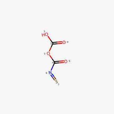 O=C(O)OC(=O)N=S